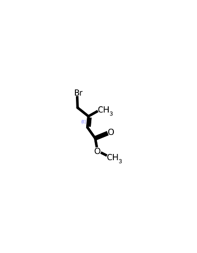 COC(=O)/C=C(\C)CBr